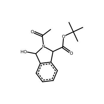 CC(=O)N1C(O)c2ccccc2C1C(=O)OC(C)(C)C